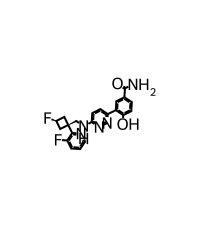 NC(=O)c1ccc(O)c(-c2ccc(NC[C@]3(c4ncccc4F)C[C@H](F)C3)nn2)c1